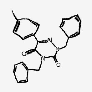 O=c1c(-c2ccc(I)cc2)nn(Cc2ccccc2)c(=O)n1Cc1ccccc1